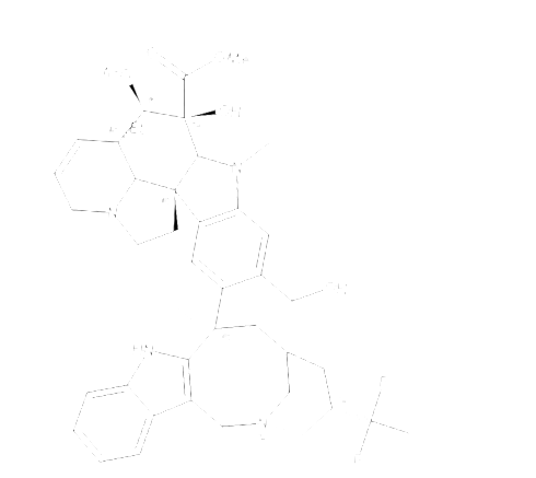 CC[C@]12C=CCN3CC[C@@]4(c5cc([C@@]6(C)CC7C[C@H](C(C)(F)F)C[N@](Cc8c6[nH]c6ccccc86)C7)c(CO)cc5N(C)C4[C@@](O)(C(=O)OC)[C@@H]1OC(C)=O)C32